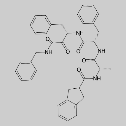 C[C@H](NC(=O)C1Cc2ccccc2C1)C(=O)N[C@@H](Cc1ccccc1)C(=O)N[C@@H](Cc1ccccc1)C(=O)C(=O)NCc1ccccc1